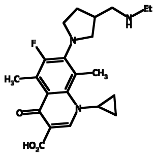 CCNCC1CCN(c2c(F)c(C)c3c(=O)c(C(=O)O)cn(C4CC4)c3c2C)C1